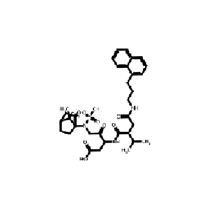 CC(C)C(CC(=O)NCCCc1cccc2ccccc12)C(=O)NC(CC(=O)O)C(=O)CN(C12CCC(CC1=O)C2(C)C)S(C)(=O)=O